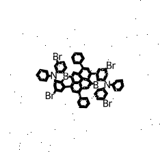 Brc1ccc2c(c1)N(c1ccccc1)c1cc(Br)cc3c1B2c1cc2c(-c4ccccc4)cc4c5c(cc6c(-c7ccccc7)cc-3c1c6c25)B1c2ccc(Br)cc2N(c2ccccc2)c2cc(Br)cc-4c21